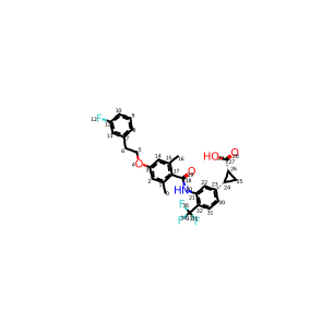 Cc1cc(OCCc2cccc(F)c2)cc(C)c1C(=O)Nc1cc([C@H]2C[C@H]2C(=O)O)ccc1C(F)(F)F